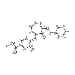 COC(=O)c1ccc(Oc2ccccc(OCc3ccccc3)c2=O)c(F)c1